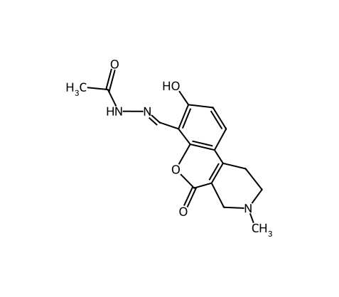 CC(=O)N/N=C/c1c(O)ccc2c3c(c(=O)oc12)CN(C)CC3